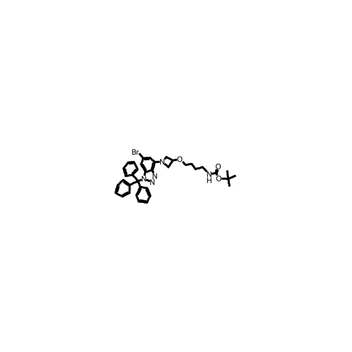 CC(C)(C)OC(=O)NCCCCOC1CN(c2cc(Br)cc3c2nnn3C(c2ccccc2)(c2ccccc2)c2ccccc2)C1